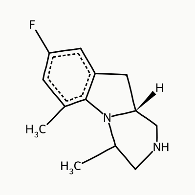 Cc1cc(F)cc2c1N1C(C)CNC[C@H]1C2